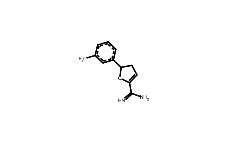 N=C(N)C1=CCC(c2cccc(C(F)(F)F)c2)O1